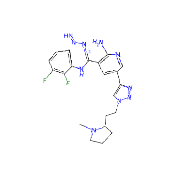 CN1CCCC1CCn1cc(-c2cnc(N)c(/C(=N/N=N)Nc3cccc(F)c3F)c2)nn1